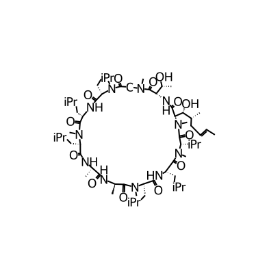 C/C=C/C[C@@H](C)[C@@H](O)[C@H]1C(=O)N[C@@H]([C@@H](C)O)C(=O)N(C)CC(=O)N(C)[C@@H](CC(C)C)C(=O)N[C@@H](CC(C)C)C(=O)N(C)[C@@H](CC(C)C)C(=O)N[C@@H](C)C(=O)N[C@H](C)C(=O)N(C)[C@@H](CC(C)C)C(=O)N[C@@H](CC(C)C)C(=O)N(C)[C@@H](C(C)C)C(=O)N1C